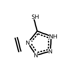 C=C.Sc1nnn[nH]1